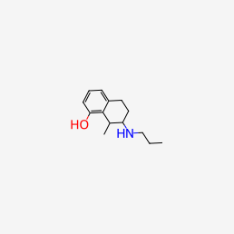 CCCNC1CCc2cccc(O)c2C1C